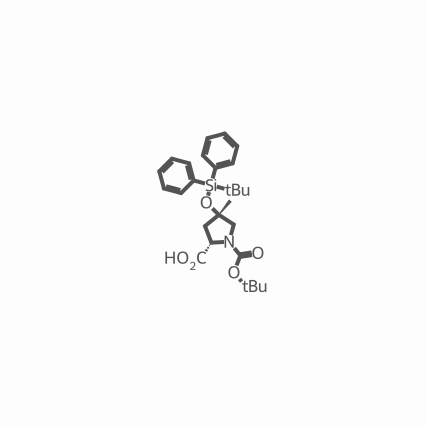 CC(C)(C)OC(=O)N1C[C@@](C)(O[Si](c2ccccc2)(c2ccccc2)C(C)(C)C)C[C@H]1C(=O)O